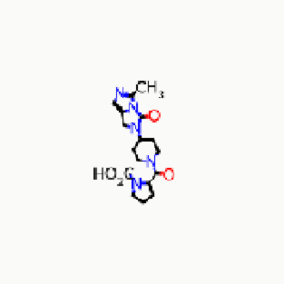 Cc1ncc2n1C(=O)N(C1CCN(C(=O)[C@H]3CCCN3C(=O)O)CC1)C2